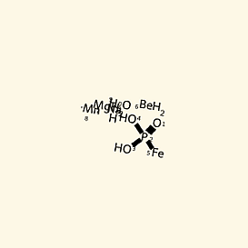 O.O=[P](O)(O)[Fe].[BeH2].[MgH2].[Mn].[NaH]